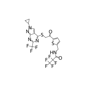 O=C(CSc1nc(C(F)(F)F)nc2nn(C3CC3)cc12)c1ccc(CNC(=O)C(F)(F)C(F)(F)F)s1